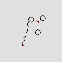 C=CC/C=C/CCC(=O)OC.O=C(O)/C=C\c1ccccc1.O=C(OCc1ccccc1)c1ccccc1